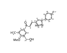 COc1c(C)cc(C(=O)/C=C/c2cc(-c3ccc(F)cc3)n[nH]2)cc1CO